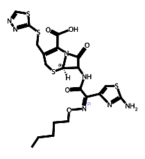 CCCCCO/N=C(\C(=O)NC1C(=O)N2C(C(=O)O)=C(CSc3nncs3)CS[C@H]12)c1csc(N)n1